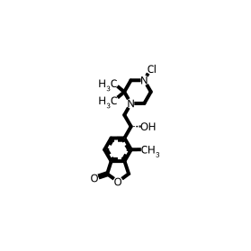 Cc1c([C@@H](O)CN2CCN(Cl)CC2(C)C)ccc2c1COC2=O